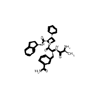 C[C@H](N)C(=O)N[C@@H](Cc1cccc(C(N)=O)c1)C(=O)N1C[C@@H](c2ccccc2)[C@@H]1C(=O)N[C@@H]1CCc2ccccc21